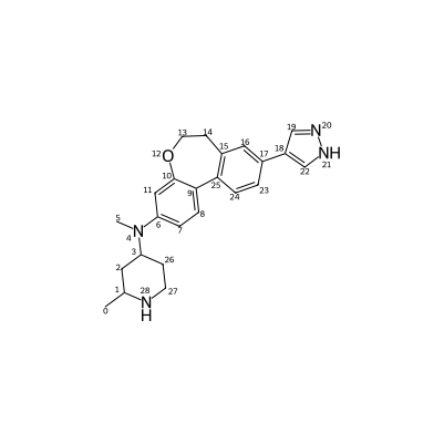 CC1CC(N(C)c2ccc3c(c2)OCCc2cc(-c4cn[nH]c4)ccc2-3)CCN1